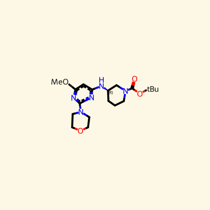 COc1cc(N[C@@H]2CCCN(C(=O)OC(C)(C)C)C2)nc(N2CCOCC2)n1